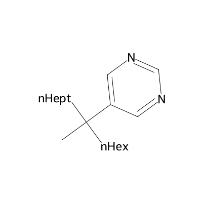 CCCCCCCC(C)(CCCCCC)c1cncnc1